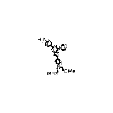 COCCN(CCOC)c1ccc(-c2cc3nc(-c4cnc(N)nc4)nc(N4CCOCC4)c3s2)cn1